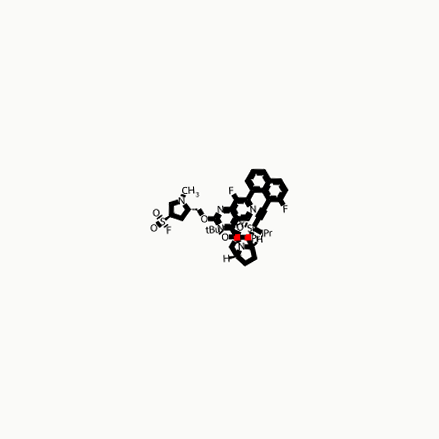 CC(C)[Si](C#Cc1c(F)ccc2cccc(-c3ncc4c(N5C[C@H]6CC[C@@H](C5)N6C(=O)OC(C)(C)C)nc(OC[C@@H]5C[C@@H](S(=O)(=O)F)CN5C)nc4c3F)c12)(C(C)C)C(C)C